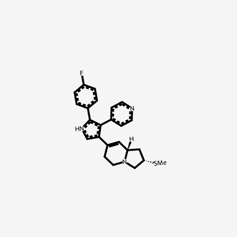 CS[C@H]1C[C@H]2C=C(c3c[nH]c(-c4ccc(F)cc4)c3-c3ccncc3)CCN2C1